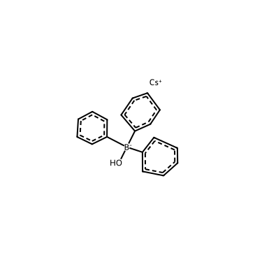 O[B-](c1ccccc1)(c1ccccc1)c1ccccc1.[Cs+]